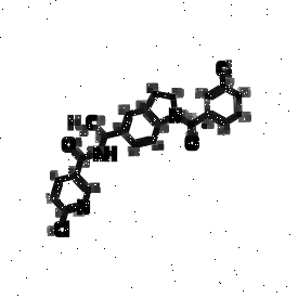 CC(NC(=O)c1ccc(Cl)nc1)c1ccc2c(c1)CCN2C(=O)c1cccc(Cl)c1